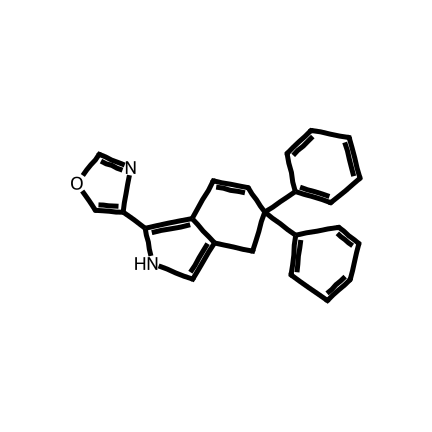 C1=CC(c2ccccc2)(c2ccccc2)Cc2c[nH]c(-c3cocn3)c21